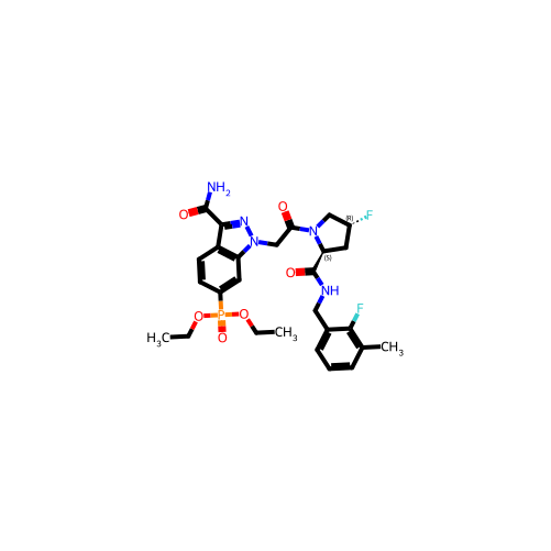 CCOP(=O)(OCC)c1ccc2c(C(N)=O)nn(CC(=O)N3C[C@H](F)C[C@H]3C(=O)NCc3cccc(C)c3F)c2c1